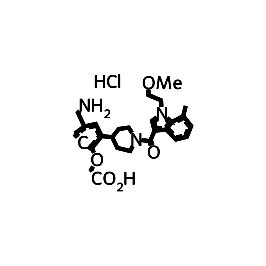 COCCn1cc(C(=O)N2CCC(c3cc(CN)ccc3OCC(=O)O)CC2)c2cccc(C)c21.Cl